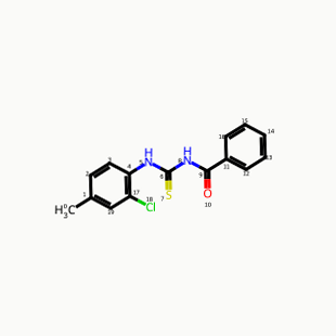 Cc1ccc(NC(=S)NC(=O)c2ccccc2)c(Cl)c1